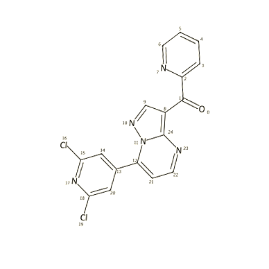 O=C(c1ccccn1)c1cnn2c(-c3cc(Cl)nc(Cl)c3)ccnc12